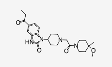 CCC(=O)c1ccc2c(c1)[nH]c(=O)n2C1CCN(CC(=O)N2CCC(C)(OC)CC2)CC1